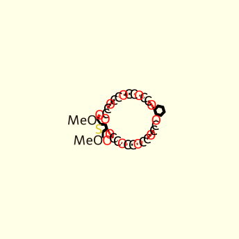 COC(=O)c1sc(C(=O)OC)c2c1OCCOCCOCCOCCOc1ccccc1OCCOCCOCCOCCO2